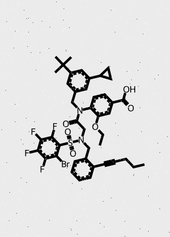 CCCC#Cc1ccccc1CN(CC(=O)N(Cc1cc(C2CC2)cc(C(C)(C)C)c1)c1ccc(C(=O)O)cc1OCC)S(=O)(=O)c1c(F)c(F)c(F)c(F)c1Br